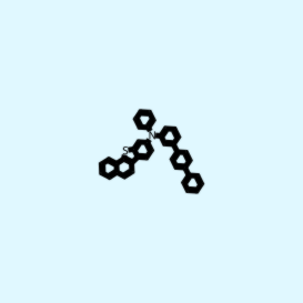 c1ccc(-c2ccc(-c3cccc(N(c4ccccc4)c4ccc5c(c4)sc4c6ccccc6ccc54)c3)cc2)cc1